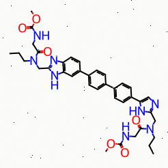 CCCN(Cc1ncc(-c2ccc(-c3ccc(-c4ccc5nc(CN(CCC)C(=O)CNC(=O)OC)[nH]c5c4)cc3)cc2)[nH]1)C(=O)CNC(=O)OC